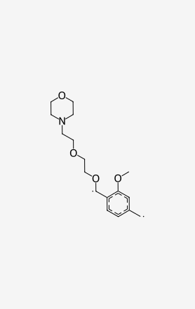 [CH2]c1ccc([CH]OCCOCCN2CCOCC2)c(OC)c1